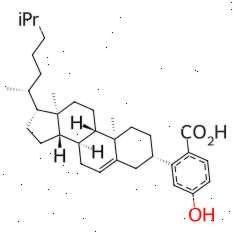 CC(C)CCC[C@@H](C)[C@H]1CC[C@H]2[C@@H]3CC=C4C[C@@H](c5cc(O)ccc5C(=O)O)CC[C@]4(C)[C@H]3CC[C@]12C